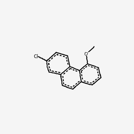 COc1cccc2ccc3cc(Cl)ccc3c12